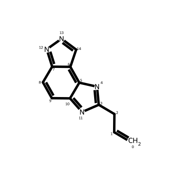 C=CCC1=Nc2c3c(ccc2=N1)=NN=C3